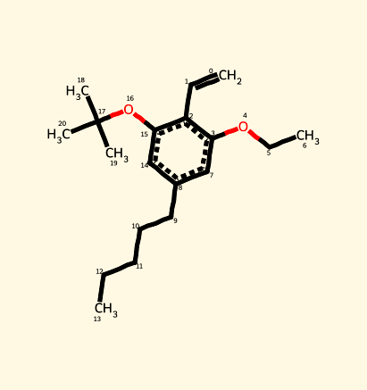 C=Cc1c(OCC)cc(CCCCC)cc1OC(C)(C)C